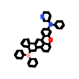 c1ccc(B(c2ccccc2)c2cc3c4cccc5c4c(cc3c3ccccc23)-c2ccc(N(c3ccccc3)c3cccnc3)cc2O5)cc1